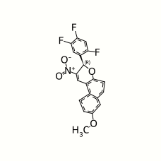 COc1ccc2c3c(ccc2c1)O[C@H](c1cc(F)c(F)cc1F)C([N+](=O)[O-])=C3